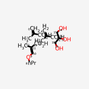 C=C(C)C(=O)O.C=C(C)C(=O)O.CCCOC=C(C)C(=O)O.OCC(O)CO